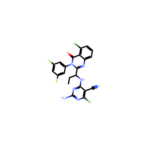 CCC(Nc1nc(N)nc(Cl)c1C#N)c1nc2cccc(Cl)c2c(=O)n1-c1cc(F)cc(F)c1